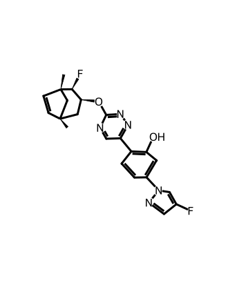 C[C@@]12C=C[C@@](C)(C1)[C@@H](F)[C@@H](Oc1ncc(-c3ccc(-n4cc(F)cn4)cc3O)nn1)C2